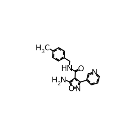 Cc1ccc(CNC(=O)c2c(-c3cccnc3)noc2N)cc1